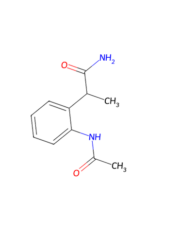 CC(=O)Nc1ccccc1C(C)C(N)=O